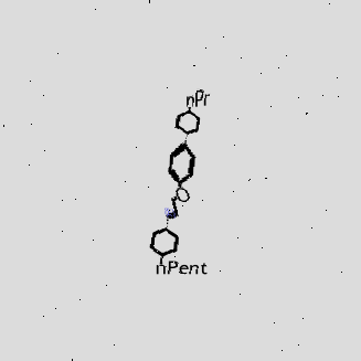 CCCCC[C@H]1CC[C@H](/C=C/COc2ccc([C@H]3CC[C@H](CCC)CC3)cc2)CC1